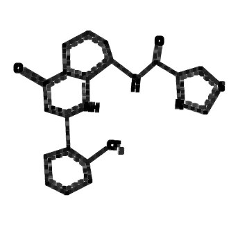 O=C(Nc1cccc2c(=O)cc(-c3ccccc3C(F)(F)F)[nH]c12)c1cscn1